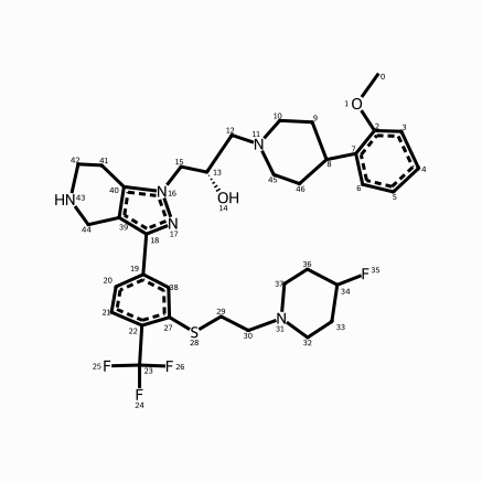 COc1ccccc1C1CCN(C[C@H](O)Cn2nc(-c3ccc(C(F)(F)F)c(SCCN4CCC(F)CC4)c3)c3c2CCNC3)CC1